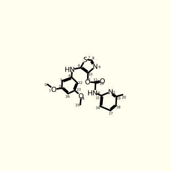 COc1cc(Nc2scnc2OC(=O)Nc2cccc(C)n2)cc(OC)c1